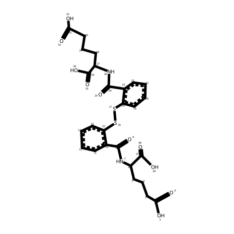 O=C(O)CCCC(NC(=O)c1ccccc1SSc1ccccc1C(=O)NC(CCCC(=O)O)C(=O)O)C(=O)O